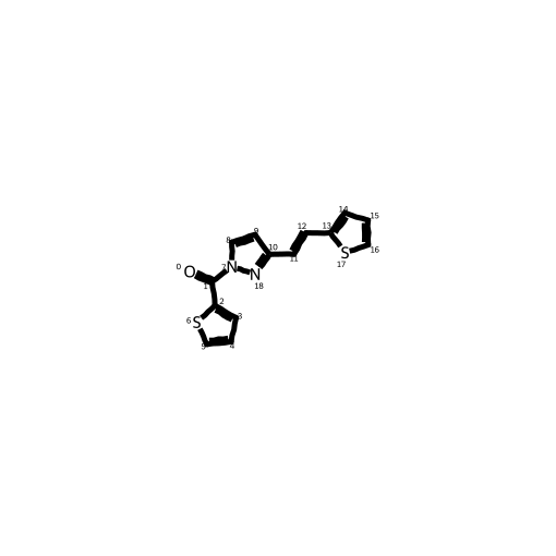 O=C(c1cccs1)n1ccc(/C=C/c2cccs2)n1